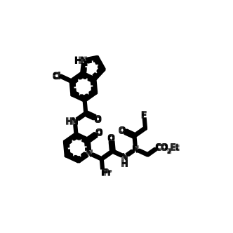 CCOC(=O)CN(NC(=O)C(C(C)C)n1cccc(NC(=O)c2cc(Cl)c3[nH]ccc3c2)c1=O)C(=O)CF